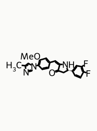 COc1cc(/C=C2/N[C@H](c3ccc(F)c(F)c3)CC2=O)ccc1-n1cnc(C)c1